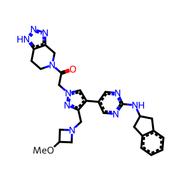 COC1CN(Cc2nn(CC(=O)N3CCc4[nH]nnc4C3)cc2-c2cnc(NC3Cc4ccccc4C3)nc2)C1